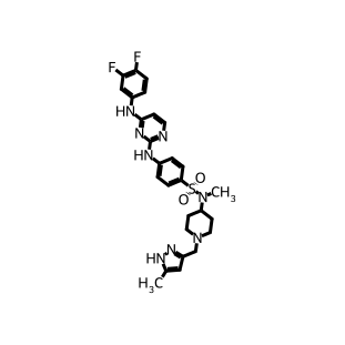 Cc1cc(CN2CCC(N(C)S(=O)(=O)c3ccc(Nc4nccc(Nc5ccc(F)c(F)c5)n4)cc3)CC2)n[nH]1